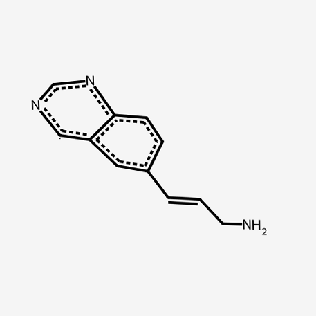 NC/C=C/c1ccc2ncn[c]c2c1